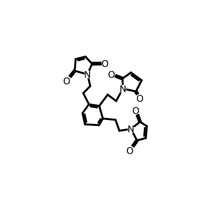 O=C1C=CC(=O)N1CCc1cccc(CCN2C(=O)C=CC2=O)c1CCN1C(=O)C=CC1=O